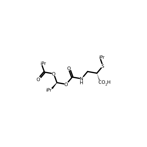 CC(C)S[C@@H](CNC(=O)O[C@H](OC(=O)C(C)C)C(C)C)C(=O)O